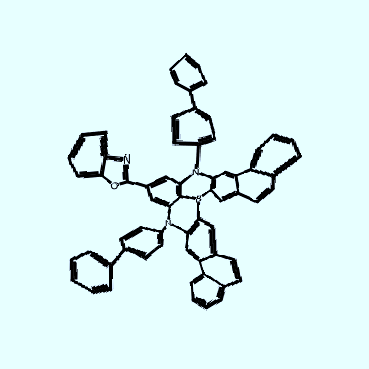 c1ccc(-c2ccc(N3c4cc5c(ccc6ccccc65)cc4B4c5cc6ccc7ccccc7c6cc5N(c5ccc(-c6ccccc6)cc5)c5cc(-c6nc7ccccc7o6)cc3c54)cc2)cc1